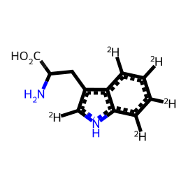 [2H]c1[nH]c2c([2H])c([2H])c([2H])c([2H])c2c1CC(N)C(=O)O